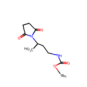 CC(C)(C)OC(=O)NCCC(C(=O)O)N1C(=O)CCC1=O